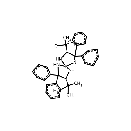 CC(C)(C)[C@@H]1N[PH]2(N[C@@H](C(C)(C)C)C(c3ccccc3)(c3ccccc3)N2)NC1(c1ccccc1)c1ccccc1